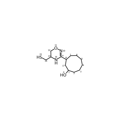 OC1CCCCCCC(C2=NOCC(CS)N2)C1